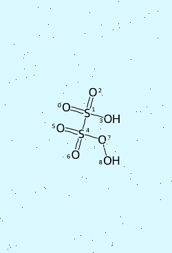 O=S(=O)(O)S(=O)(=O)OO